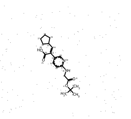 CC(C)(C)OC(=O)CNc1ccc(C(=CC2CCCC2)C(=O)O)cn1